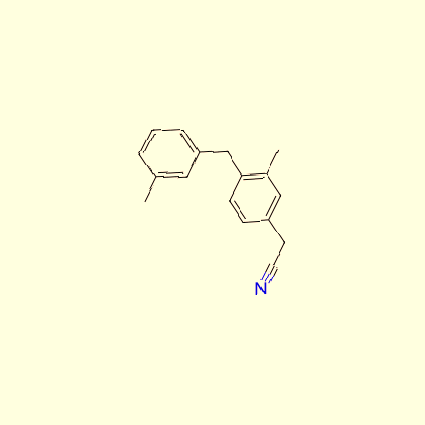 Cc1cccc(Cc2ccc(CC#N)cc2C)c1